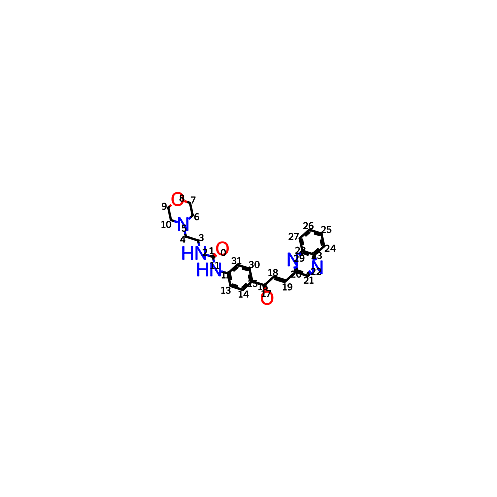 O=C(NCCN1CCOCC1)Nc1ccc(C(=O)C=Cc2cnc3ccccc3n2)cc1